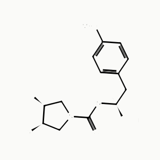 COc1ccc(C[C@H](NC(=O)N2C[C@@H](O)[C@@H](O)C2)C(=O)O)cc1